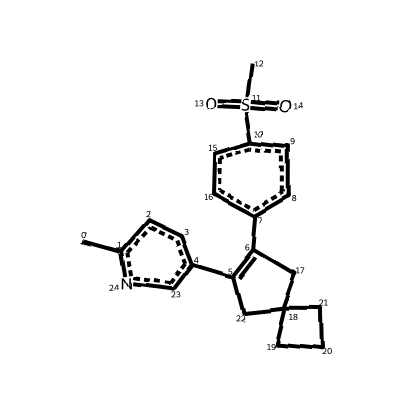 Cc1ccc(C2=C(c3ccc(S(C)(=O)=O)cc3)CC3(CCC3)C2)cn1